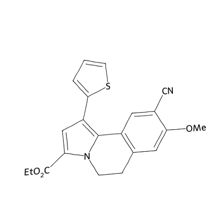 CCOC(=O)c1cc(-c2cccs2)c2n1CCc1cc(OC)c(C#N)cc1-2